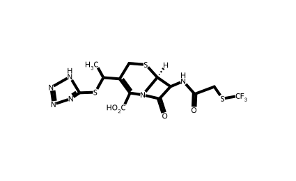 CC(Sc1nnn[nH]1)C1=C(C(=O)O)N2C(=O)C(NC(=O)CSC(F)(F)F)[C@@H]2SC1